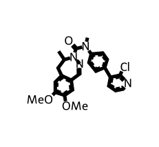 COc1cc2c(cc1OC)CC(C)N(C(=O)N(C)c1ccc(-c3cccnc3Cl)cc1)N=C2